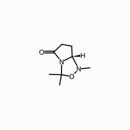 CN1OC(C)(C)N2C(=O)CC[C@H]12